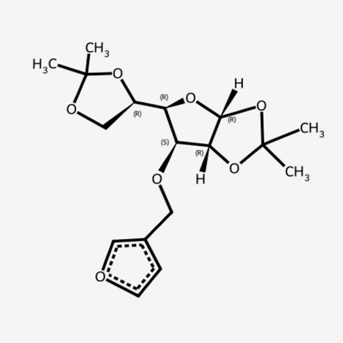 CC1(C)O[C@H]2O[C@H]([C@H]3COC(C)(C)O3)[C@H](OCc3ccoc3)[C@H]2O1